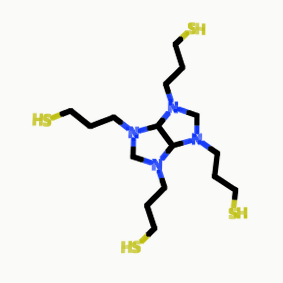 SCCCN1CN(CCCS)C2C1N(CCCS)CN2CCCS